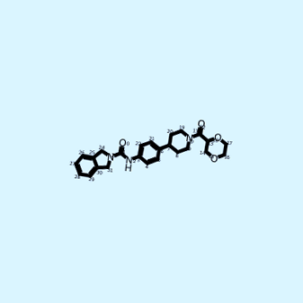 O=C(Nc1ccc(C2CCN(C(=O)C3COCCO3)CC2)cc1)N1Cc2ccccc2C1